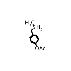 C[SiH2]Cc1ccc(OC(C)=O)cc1